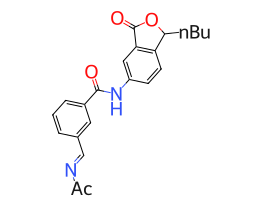 CCCCC1OC(=O)c2cc(NC(=O)c3cccc(C=NC(C)=O)c3)ccc21